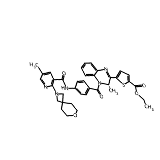 CCOC(=O)c1ccc(C2=Nc3ccccc3N(C(=O)c3ccc(NC(=O)c4cc(C)cnc4N4CC5(CCOCC5)C4)cc3)[C@H]2C)s1